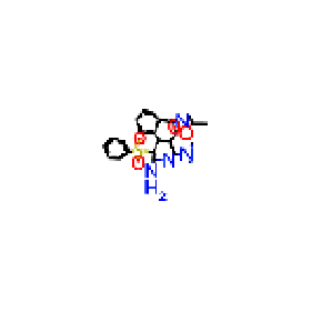 CC(C)OC(=O)C1C(N(C)C)=NC(N)=C(S(=O)(=O)c2ccccc2)C1c1ccccc1C#N